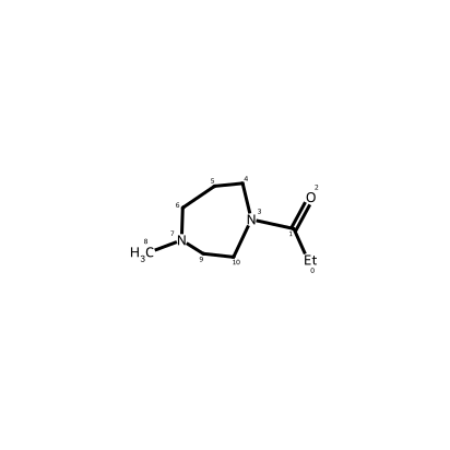 CCC(=O)N1CCCN(C)CC1